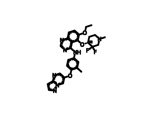 CCOc1ccc2ncnc(Nc3ccc(Oc4cnc5ccnn5c4)c(C)c3)c2c1O[C@@H]1CCN(C)CC1(F)F